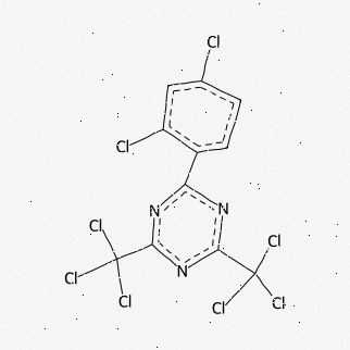 Clc1ccc(-c2nc(C(Cl)(Cl)Cl)nc(C(Cl)(Cl)Cl)n2)c(Cl)c1